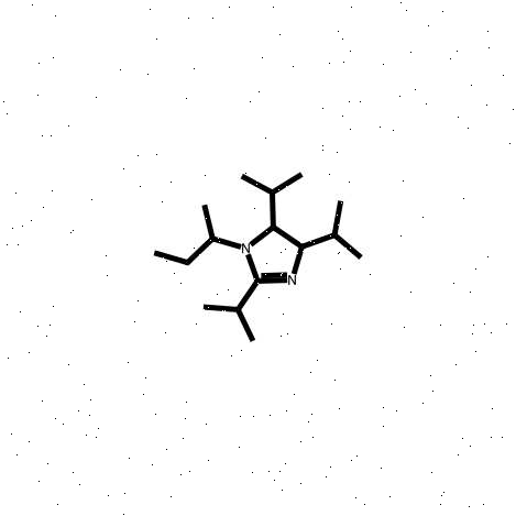 CCC(C)N1C(C(C)C)=NC(C(C)C)C1C(C)C